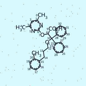 Cc1cc(C)nc(OC(C(=O)O)C(OCCCc2ccccc2C)(c2ccccc2)c2ccccc2)n1